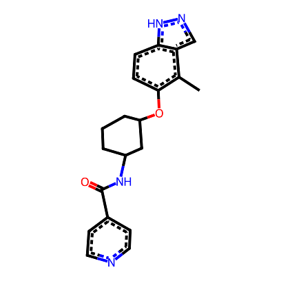 Cc1c(OC2CCCC(NC(=O)c3ccncc3)C2)ccc2[nH]ncc12